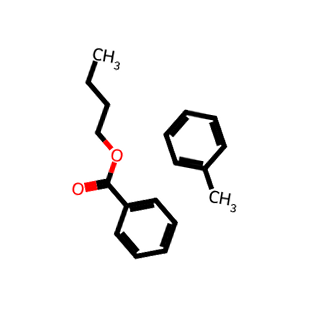 CCCCOC(=O)c1ccccc1.Cc1ccccc1